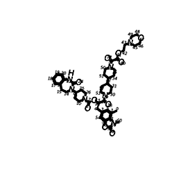 Cc1cc(C[C@@H](OC(=O)N2CCC(N3CCc4ccccc4NC3=O)CC2)C(=O)N2CCC(C3CCN(C(=O)C(=O)OCCN4CCOCC4)CC3)CC2)cc2oc(=O)n(C)c12